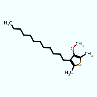 CCCCCCCCCCCCc1c(C)sc(C)c1OC